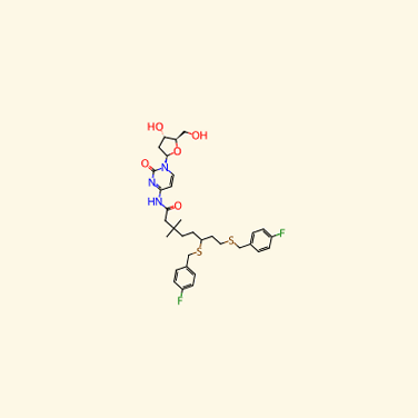 CC(C)(CCC(CCSCc1ccc(F)cc1)SCc1ccc(F)cc1)CC(=O)Nc1ccn([C@H]2C[C@H](O)[C@@H](CO)O2)c(=O)n1